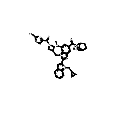 COc1cc(C(=O)N2CC3CCC2[C@@H]3N)cc2nc(-c3cc4ccccc4n3CC3CC3)n(CC3CN(C(=O)c4cnc(Cl)s4)C3)c12